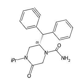 CC(C)N1C[C@H](C(c2c#cccc2)c2ccccc2)N(C(N)=O)CC1=O